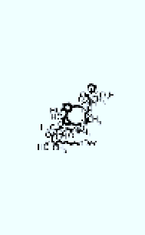 CCCCCCCCCCCCCCCC(=O)N(C)[C@H](CO)C(=O)N[C@H](C)C(=O)NCC(=O)N(C)[C@@H]1C(=O)N[C@@H](C)C(=O)N[C@H](C(=O)N[C@@H](C)C(=O)N2CCC[C@H]2C(=O)O)Cc2ccc(O)c(c2)-c2cc1ccc2O